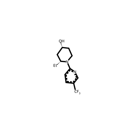 CC[C@@H]1C[C@H](O)CCN1c1ccc(C(F)(F)F)cn1